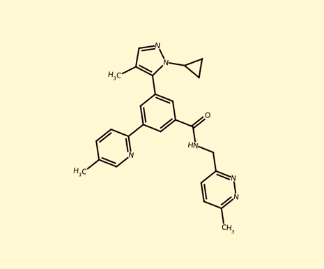 Cc1ccc(-c2cc(C(=O)NCc3ccc(C)nn3)cc(-c3c(C)cnn3C3CC3)c2)nc1